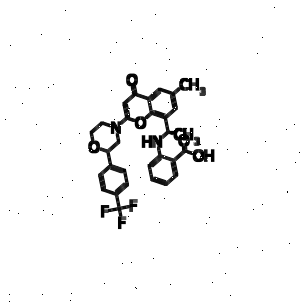 Cc1cc([C@@H](C)Nc2ccccc2C(=O)O)c2oc(N3CCOC(c4ccc(C(F)(F)F)cc4)C3)cc(=O)c2c1